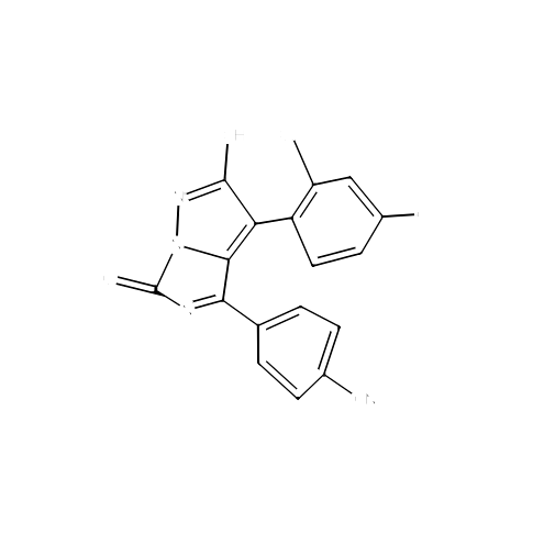 Cc1nn2c(c1-c1ccc(Cl)cc1Cl)C(c1ccc(C#N)cc1)=NC2=O